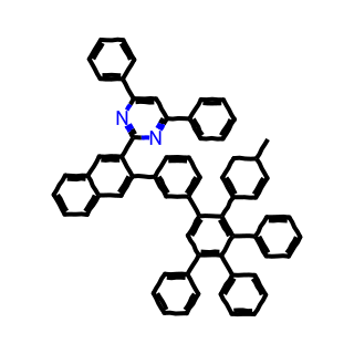 CC1C=CC(c2c(-c3cccc(-c4cc5ccccc5cc4-c4nc(-c5ccccc5)cc(-c5ccccc5)n4)c3)cc(-c3ccccc3)c(-c3ccccc3)c2-c2ccccc2)=CC1